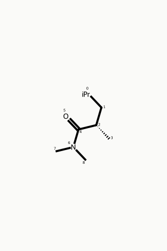 CC(C)C[C@H](C)C(=O)N(C)C